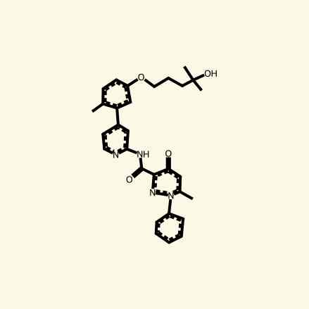 Cc1ccc(OCCCC(C)(C)O)cc1-c1ccnc(NC(=O)c2nn(-c3ccccc3)c(C)cc2=O)c1